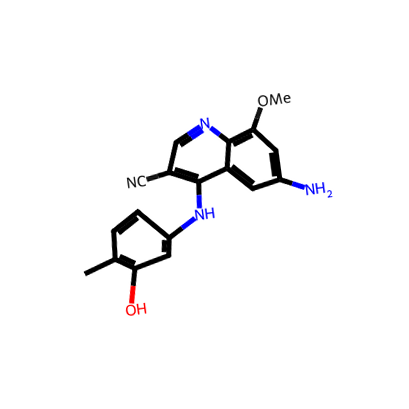 COc1cc(N)cc2c(Nc3ccc(C)c(O)c3)c(C#N)cnc12